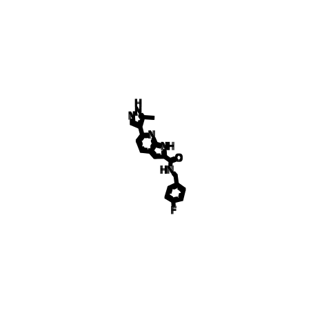 Cc1[nH]ncc1-c1ccc2cc(C(=O)NCc3ccc(F)cc3)[nH]c2n1